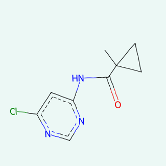 CC1(C(=O)Nc2cc(Cl)ncn2)CC1